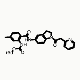 Cc1ccc(C(=O)Nc2ccc3c(c2)CCN3C(=O)Cc2ccccn2)c(NC(=O)OC(C)(C)C)c1